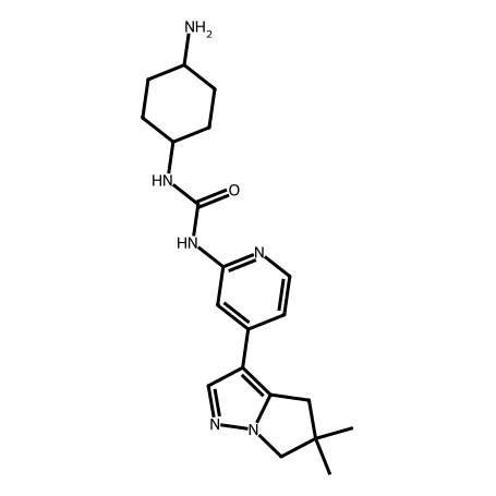 CC1(C)Cc2c(-c3ccnc(NC(=O)NC4CCC(N)CC4)c3)cnn2C1